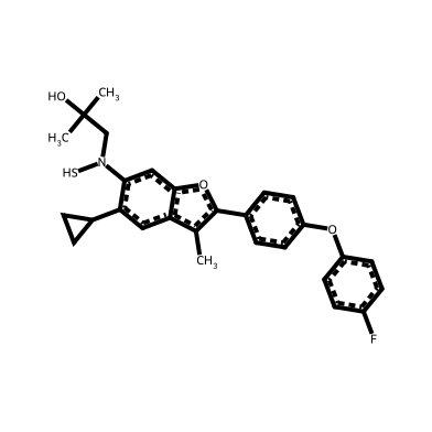 Cc1c(-c2ccc(Oc3ccc(F)cc3)cc2)oc2cc(N(S)CC(C)(C)O)c(C3CC3)cc12